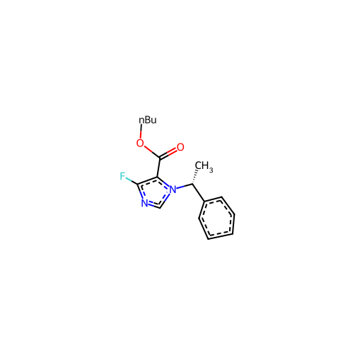 CCCCOC(=O)c1c(F)ncn1[C@H](C)c1ccccc1